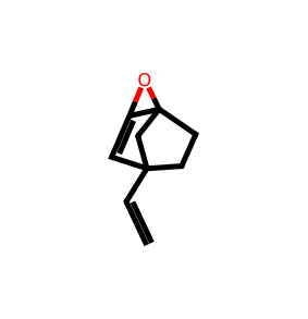 C=CC12C=C3OC3(CC1)C2